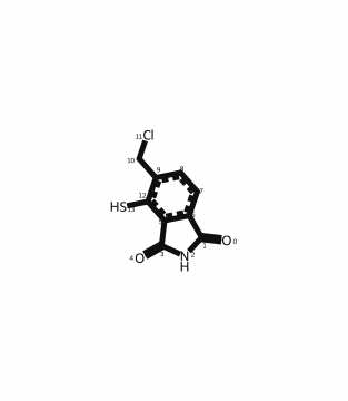 O=C1NC(=O)c2c1ccc(CCl)c2S